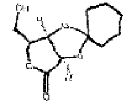 O=C1O[C@@H](CO)[C@H]2OC3(CCCCC3)O[C@@H]12